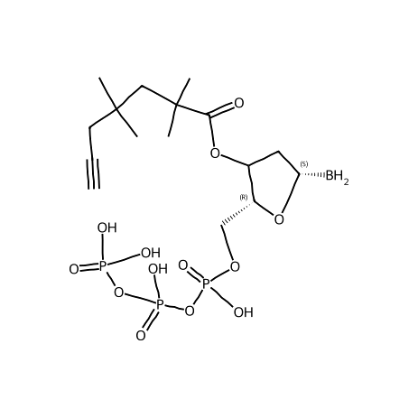 B[C@H]1CC(OC(=O)C(C)(C)CC(C)(C)CC#C)[C@@H](COP(=O)(O)OP(=O)(O)OP(=O)(O)O)O1